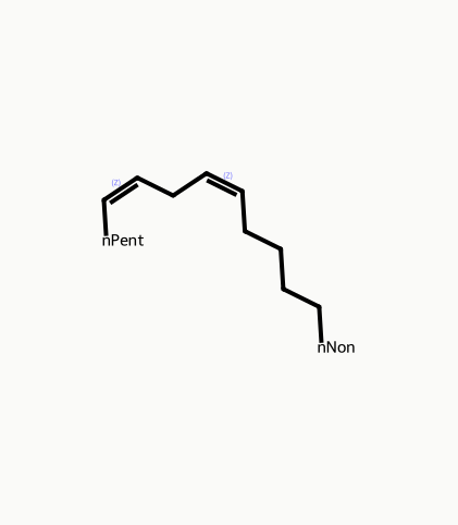 CCCCC/C=C\C/C=C\CCCCCCCCCCCCC